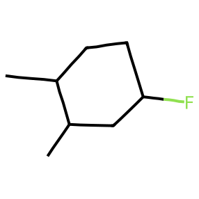 CC1CCC(F)CC1C